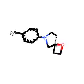 O=[N+]([O-])c1ccc(N2CC[C@]3(CCO3)C2)cc1